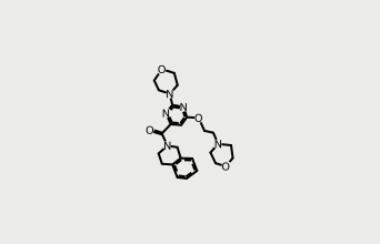 O=C(c1cc(OCCN2CCOCC2)nc(N2CCOCC2)n1)N1CCc2ccccc2C1